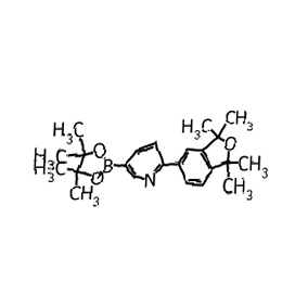 CC1(C)OC(C)(C)c2cc(-c3ccc(B4OC(C)(C)C(C)(C)O4)cn3)ccc21